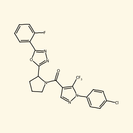 O=C(c1cnn(-c2ccc(Cl)cc2)c1C(F)(F)F)N1CCCC1c1nnc(-c2ccccc2F)o1